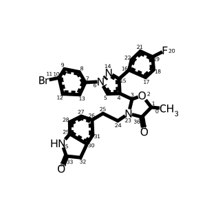 CC1OC(c2cn(-c3ccc(Br)cc3)nc2-c2ccc(F)cc2)N(CCc2ccc3c(c2)CC(=O)N3)C1=O